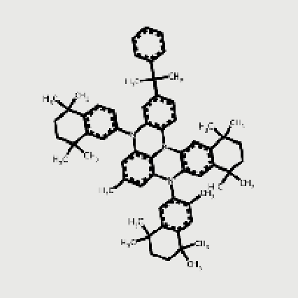 Cc1cc2c3c(c1)N(c1cc4c(cc1C)C(C)(C)CCC4(C)C)c1cc4c(cc1B3c1ccc(C(C)(C)c3ccccc3)cc1N2c1ccc2c(c1)C(C)(C)CCC2(C)C)C(C)(C)CCC4(C)C